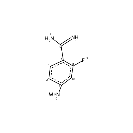 CNc1ccc(C(=N)N)c(F)c1